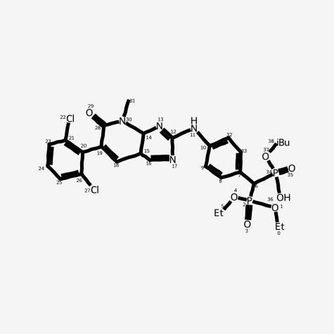 CCOP(=O)(OCC)C(c1ccc(NC2=NC3C(C=N2)C=C(c2c(Cl)cccc2Cl)C(=O)N3C)cc1)P(=O)(O)OC(C)CC